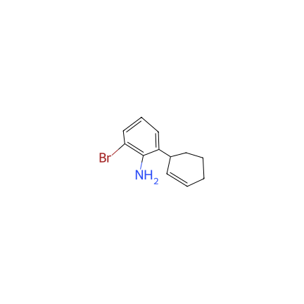 Nc1c(Br)cccc1C1C=CCCC1